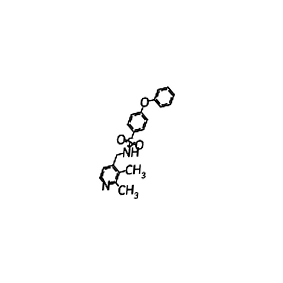 Cc1nccc(CNS(=O)(=O)c2ccc(Oc3ccccc3)cc2)c1C